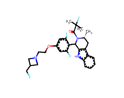 C[C@@H]1Cc2c([nH]c3ccccc23)C(c2c(F)cc(OCCN3CC(CF)C3)cc2F)N1C(=O)C(C)(C)F